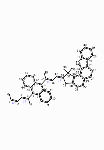 C/C=C\C=C(/C)c1c2ccccc2c(/C(C)=C/C=C2\Cc3ccc4ccc5c6ccccc6oc5c4c3C2(C)C)c2ccccc12